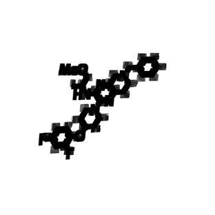 COCC(C)Nc1nc2c(nc1N1CCC(Oc3ccc(F)cc3F)CC1)CCN(Cc1ccccc1)C2